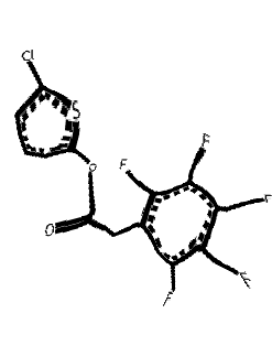 O=C(Cc1c(F)c(F)c(F)c(F)c1F)Oc1ccc(Cl)s1